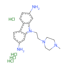 CN1CCN(CCn2c3cc(N)ccc3c3ccc(N)cc32)CC1.Cl.Cl.Cl.Cl